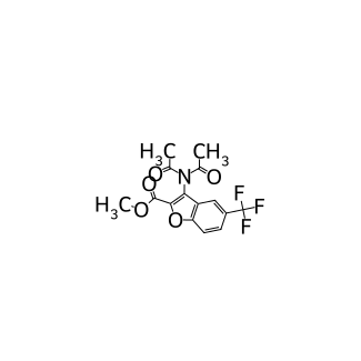 COC(=O)c1oc2ccc(C(F)(F)F)cc2c1N(C(C)=O)C(C)=O